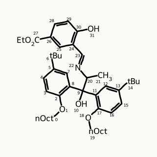 CCCCCCCCOc1ccc(C(C)(C)C)cc1C(O)(c1cc(C(C)(C)C)ccc1OCCCCCCCC)C(C)N=Cc1cc(C(=O)OCC)ccc1O